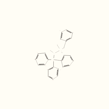 CN([Si](C)(C)Cc1ccccc1)[Si](c1ccccc1)(c1ccccc1)c1ccccc1